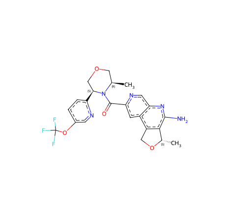 C[C@@H]1OCc2c1c(N)nc1cnc(C(=O)N3[C@H](C)COC[C@@H]3c3ccc(OC(F)(F)F)cn3)cc21